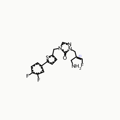 NC/C(=C\F)Cn1ncn(Cc2ccc(-c3ccc(F)c(F)c3)s2)c1=O